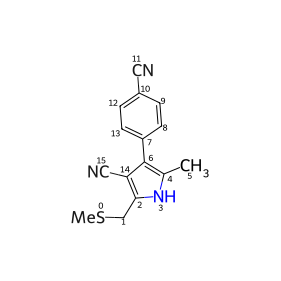 CSCc1[nH]c(C)c(-c2ccc(C#N)cc2)c1C#N